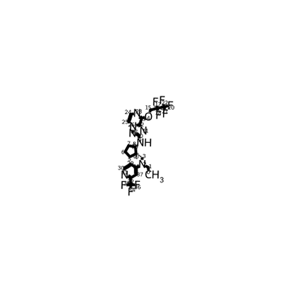 CCN(C[C@@H]1CCC[C@H]1Nc1nc2c(OCC(F)(F)C(F)(F)F)nccn2n1)c1ccnc(C(F)(F)F)c1